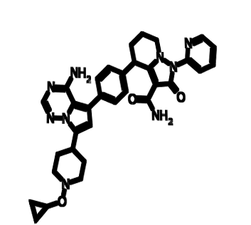 NC(=O)c1c2n(n(-c3ccccn3)c1=O)CCCC2c1ccc(-c2cc(C3CCN(OC4CC4)CC3)n3ncnc(N)c23)cc1